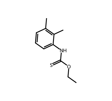 CCOC(=S)Nc1cccc(C)c1C